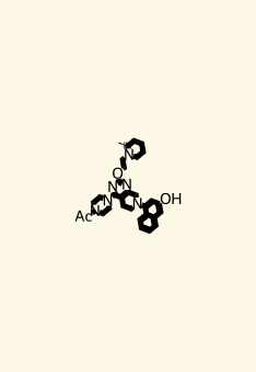 CC(=O)N1CCN(c2nc(OCCN3CCCC[C@H]3C)nc3c2CCN(c2cc(O)cc4ccccc24)C3)CC1